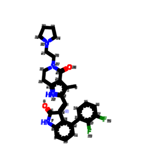 Cc1c(/C=C2\C(=O)Nc3cccc(-c4cccc(F)c4F)c32)[nH]c2c1C(=O)N(CCN1CCCC1)CC2